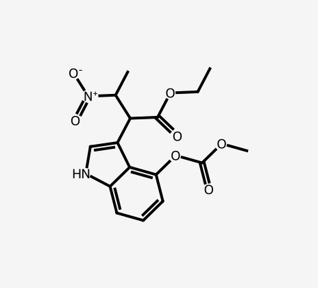 CCOC(=O)C(c1c[nH]c2cccc(OC(=O)OC)c12)C(C)[N+](=O)[O-]